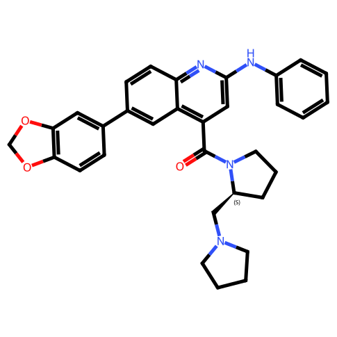 O=C(c1cc(Nc2ccccc2)nc2ccc(-c3ccc4c(c3)OCO4)cc12)N1CCC[C@H]1CN1CCCC1